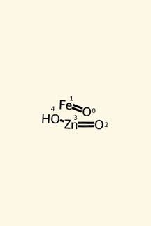 [O]=[Fe].[O]=[Zn][OH]